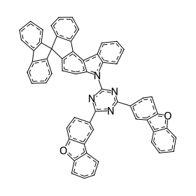 c1ccc2c(c1)-c1ccccc1C21c2ccccc2-c2c1ccc1c2c2ccccc2n1-c1nc(-c2ccc3oc4ccccc4c3c2)nc(-c2ccc3oc4ccccc4c3c2)n1